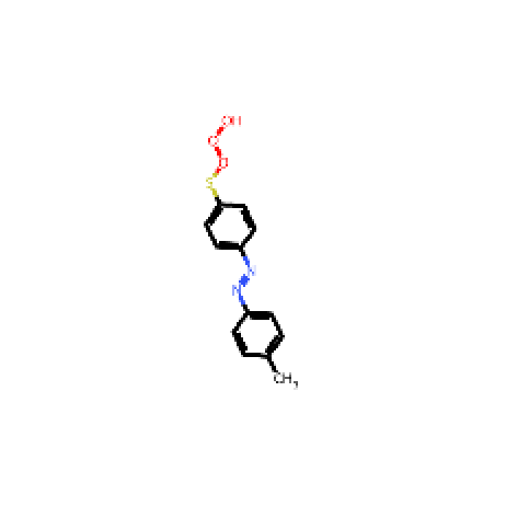 Cc1ccc(N=Nc2ccc(SOOO)cc2)cc1